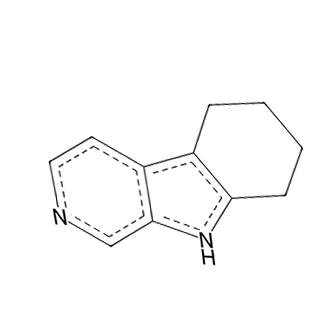 c1cc2c3c([nH]c2cn1)CCCC3